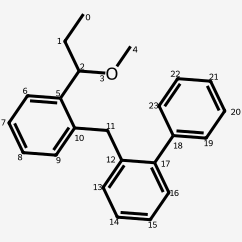 CCC(OC)c1ccccc1Cc1ccccc1-c1ccccc1